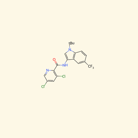 CC(C)(C)n1cc(NC(=O)c2ncc(Cl)cc2Cl)c2cc(C(F)(F)F)ccc21